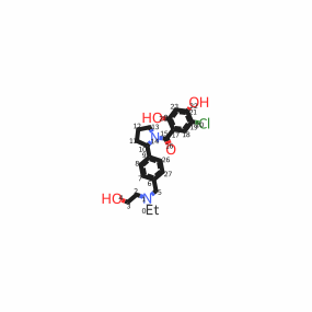 CCN(CCO)Cc1ccc(C2CCCN2C(=O)c2cc(Cl)c(O)cc2O)cc1